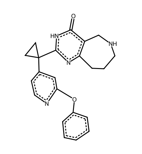 O=c1[nH]c(C2(c3ccnc(Oc4ccccc4)c3)CC2)nc2c1CNCCC2